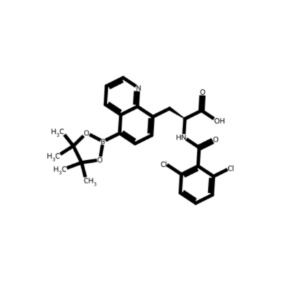 CC1(C)OB(c2ccc(C[C@H](NC(=O)c3c(Cl)cccc3Cl)C(=O)O)c3ncccc23)OC1(C)C